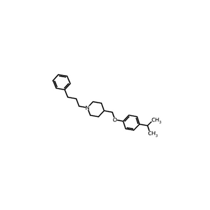 CC(C)c1ccc(OCC2CCN(CCCc3ccccc3)CC2)cc1